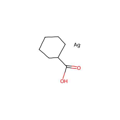 O=C(O)C1CCCCC1.[Ag]